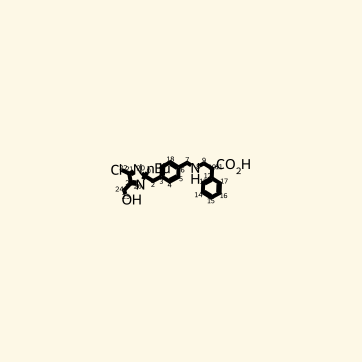 CCCCC1(Cc2ccc(CNC[C@H](C(=O)O)c3ccccc3)cc2)N=C(Cl)C(CO)=N1